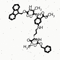 COC(=O)c1cc(NCCC[C@H](NC(=O)OCc2ccccc2)C(=O)OC)ccc1NC(=O)[C@H](C)NC(=O)OCC1c2ccccc2-c2ccccc21